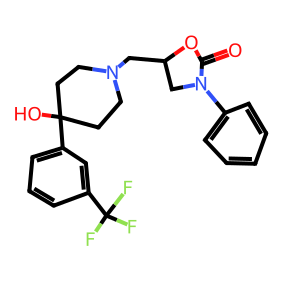 O=C1OC(CN2CCC(O)(c3cccc(C(F)(F)F)c3)CC2)CN1c1ccccc1